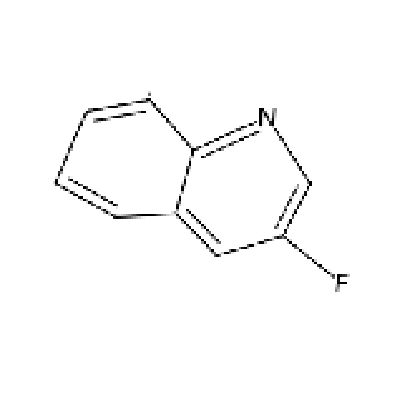 Fc1cnc2[c]cccc2c1